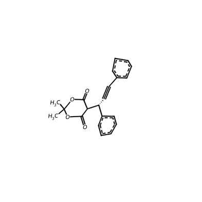 CC1(C)OC(=O)C([C@H](C#Cc2ccccc2)c2ccccc2)C(=O)O1